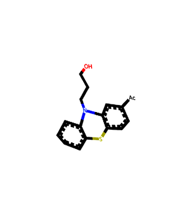 CC(=O)c1ccc2c(c1)N(CCCO)c1ccccc1S2